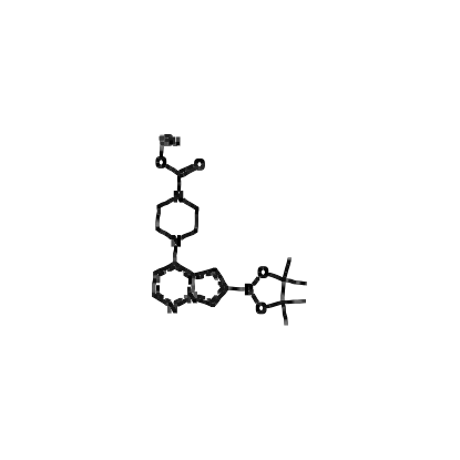 CC(C)(C)OC(=O)N1CCN(c2ccnn3cc(B4OC(C)(C)C(C)(C)O4)cc23)CC1